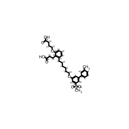 Cc1cccc(-c2cc(OCCCCCCc3cccc(OCCCC(=O)O)c3CCC(=O)O)cc(S(C)(=O)=O)c2)c1